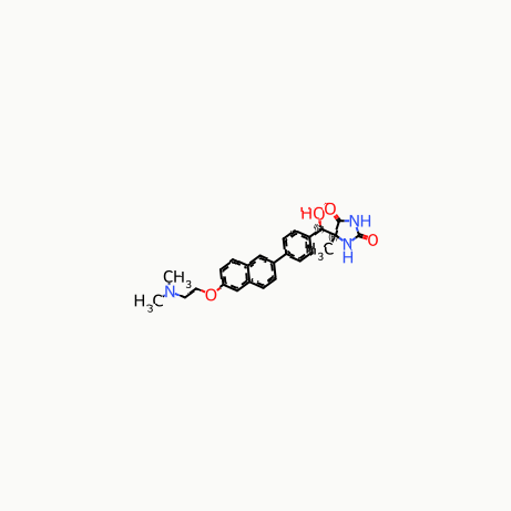 CN(C)CCOc1ccc2cc(-c3ccc([C@@H](O)[C@@]4(C)NC(=O)NC4=O)cc3)ccc2c1